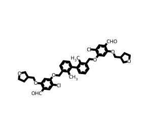 Cc1c(COc2cc(OCC3CCOC3)c(C=O)cc2Cl)cccc1-c1cccc(COc2cc(OCC3CCOC3)c(C=O)cc2Cl)c1C